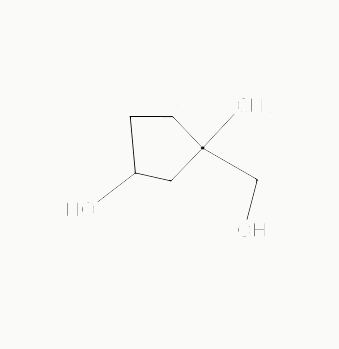 CC1(CO)CCC(O)C1